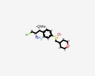 CO[C@H](c1ccc([S+]([O-])CC2CCOCC2)cc1)[C@H](N)CF